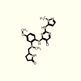 COc1ccc(Nc2nc(Nc3ccnn3C)ncc2Cl)c(N(C)CC2CCC(=O)N2)c1